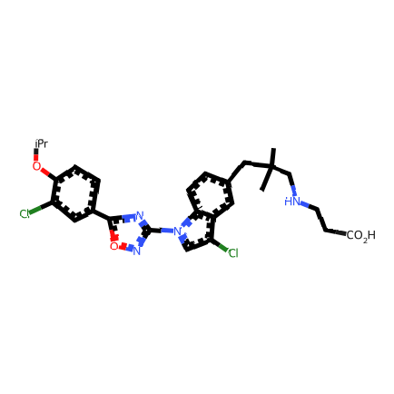 CC(C)Oc1ccc(-c2nc(-n3cc(Cl)c4cc(CC(C)(C)CNCCC(=O)O)ccc43)no2)cc1Cl